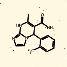 CC1=C(C(N)=O)C(c2ccccc2C(F)(F)F)n2ccnc2N1